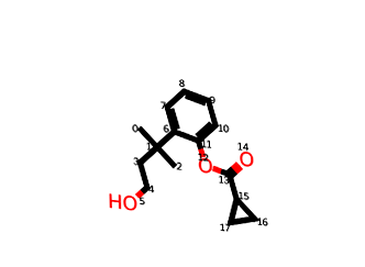 CC(C)(CCO)c1ccccc1OC(=O)C1CC1